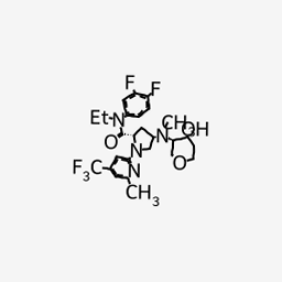 CCN(C(=O)[C@@H]1C[C@H](N(C)[C@@H]2COCC[C@H]2O)CN1c1cc(C(F)(F)F)cc(C)n1)c1ccc(F)c(F)c1